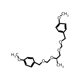 COc1ccc(COCOC[C@@H](C)OCOCc2ccc(OC)cc2)cc1